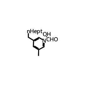 CCCCCCCCc1cncc(C)c1.O=CO